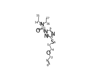 C=CCOCCSc1ncn(C(=O)N(CC)CC)n1